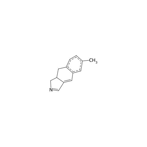 Cc1ccc2c(c1)C=C1C=NCC1C2